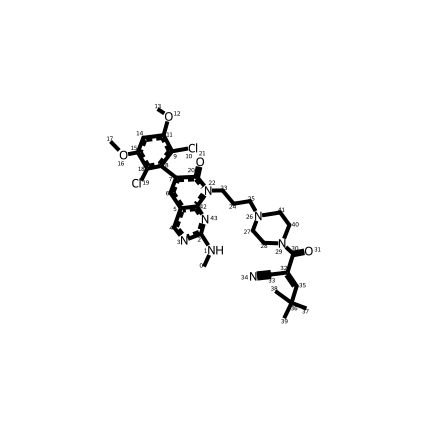 CNc1ncc2cc(-c3c(Cl)c(OC)cc(OC)c3Cl)c(=O)n(CCCN3CCN(C(=O)C(C#N)=CC(C)(C)C)CC3)c2n1